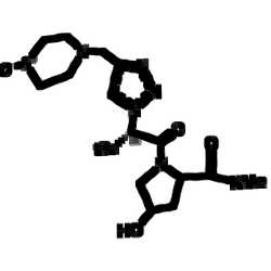 CNC(=O)C1CC(O)CN1C(=O)[C@@H](n1cc(CN2CC[S+]([O-])CC2)nn1)C(C)(C)C